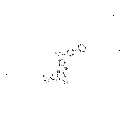 CC/N=C(\NC(=O)OC(C)(C)C)Nc1cc(C(C)c2ccc(-c3ccccc3)c(F)c2)no1